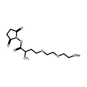 COCCOCCOCCC(C)C(=O)ON1C(=O)CCC1=O